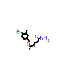 Cc1cc(CO[C@H](C)[C@@H](C)CCC(N)=O)ccc1Br